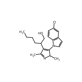 CCCCC(CO)c1c(C)nn(C)c1-n1ccc2cc(Cl)ccc21